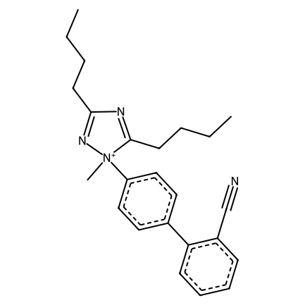 CCCCC1=N[N+](C)(c2ccc(-c3ccccc3C#N)cc2)C(CCCC)=N1